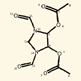 CC(=O)OC1C(OC(C)=O)N(C=O)CN1C=O